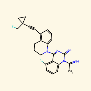 CC(=N)n1c(=N)nc(N2CCCc3c(C#CC4(CF)CC4)cccc32)c2c(F)cccc21